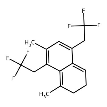 CC1=c2c(CC(F)(F)F)c(C)cc(CC(F)(F)F)c2=CCC1